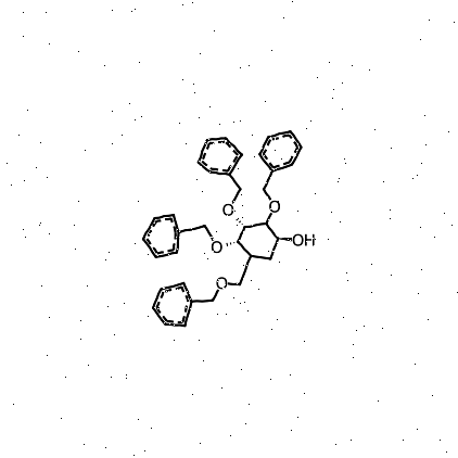 O[C@H]1CC(COCc2ccccc2)[C@H](OCc2ccccc2)[C@H](OCc2ccccc2)C1OCc1ccccc1